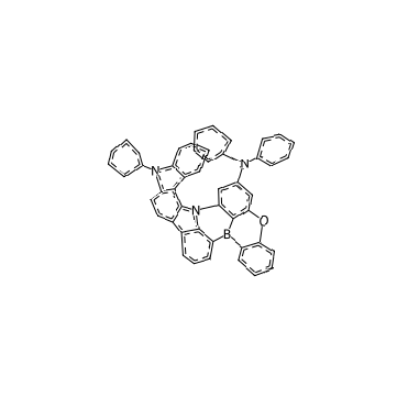 c1ccc(N(c2ccccc2)c2cc3c4c(c2)-n2c5c(cccc5c5ccc6c(c7ccccc7n6-c6ccccc6)c52)B4c2ccccc2O3)cc1